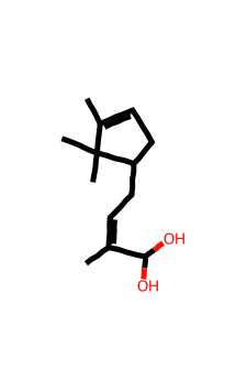 CC(=CCC1CC=C(C)C1(C)C)C(O)O